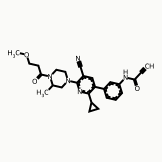 C#CC(=O)Nc1cccc(-c2cc(C#N)c(N3CCN(C(=O)CCOC)C(C)C3)nc2C2CC2)c1